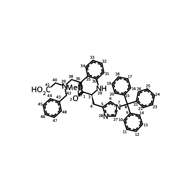 COC(=O)[C@H](Cc1cn(C(c2ccccc2)(c2ccccc2)c2ccccc2)cn1)Nc1ccccc1C(=O)CN(CC(=O)O)Cc1ccccc1